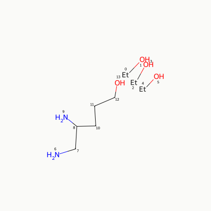 CCO.CCO.CCO.NCC(N)CCCO